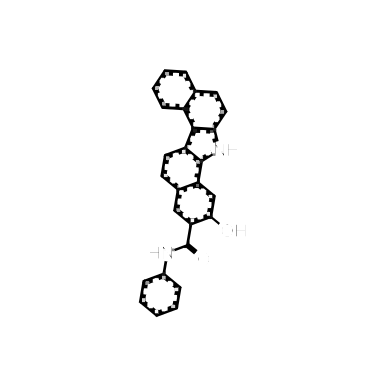 O=C(Nc1ccccc1)c1cc2ccc3c([nH]c4ccc5ccccc5c43)c2cc1O